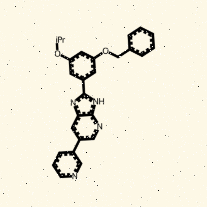 CC(C)Oc1cc(OCc2ccccc2)cc(-c2nc3cc(-c4cccnc4)cnc3[nH]2)c1